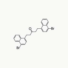 O=C(CCc1ccc(Br)c2ccccc12)CCc1ccc(Br)c2ccccc12